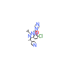 C/C(=C(\N=C(/NCC(=O)N1CCN(C)CC1)C1CC1)c1ccc(Cl)cc1)c1ccncc1